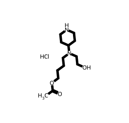 CC(=O)OCCCCN(CCO)C1CCNCC1.Cl